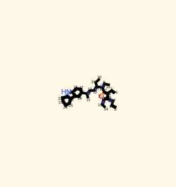 C=C/C=c1/c(C=C)c(C(=C\C)/C(=C/C=C(\C)c2ccc3[nH]c4ccccc4c3c2)CC)o/c1=C/C